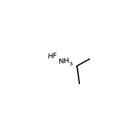 CCC.F.N